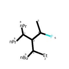 CCCCC(CC)C(C(C)F)C(CCC)CCC